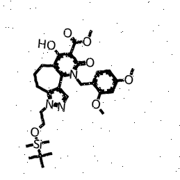 COC(=O)c1c(O)c2c(n(Cc3ccc(OC)cc3OC)c1=O)-c1cnn(CCO[Si](C)(C)C(C)(C)C)c1CCC2